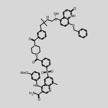 COc1cccc(Nc2c(C(N)=O)cnc3c(C)cc(S(=O)(=O)c4cccc(C(=O)N5CCN(C(=O)c6cccc(CC(C)(C)NC[C@H](O)c7ccc(OCc8ccccc8)c8[nH]c(=O)ccc78)c6)CC5)c4)cc23)c1